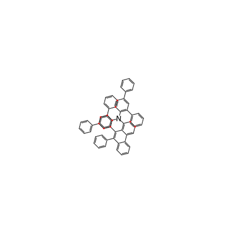 c1ccc(-c2ccc(N(c3ccc(-c4ccccc4)cc3-c3ccccc3)c3cccc4c3c(-c3ccccc3)c(-c3ccccc3)c3ccccc34)c(-c3ccccc3)c2)cc1